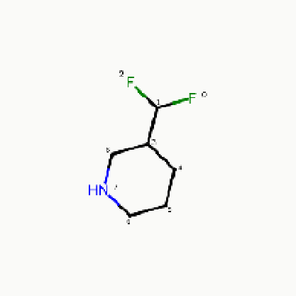 FC(F)C1CCCNC1